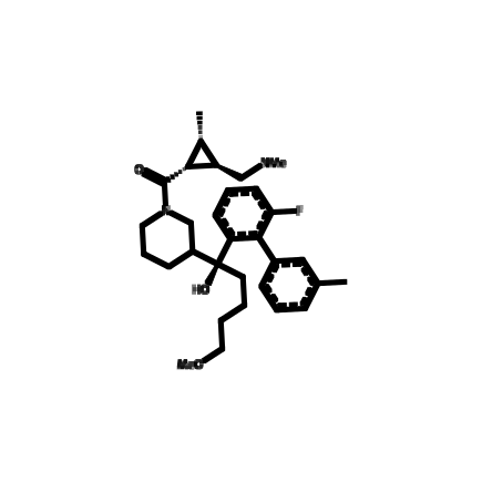 CNC[C@@H]1[C@@H](C)[C@H]1C(=O)N1CCCC([C@@](O)(CCCCOC)c2cccc(F)c2-c2cccc(C)c2)C1